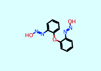 O/N=N/c1ccccc1Oc1ccccc1/N=N/O